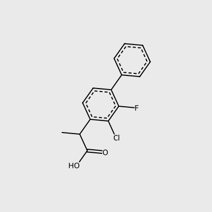 CC(C(=O)O)c1ccc(-c2ccccc2)c(F)c1Cl